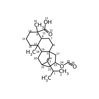 CC(C)C1=CC23CCC4C(C)(C(=O)O)CCCC4(C)C2CC1CC(OC=O)C3